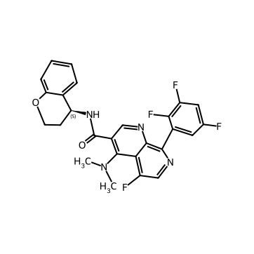 CN(C)c1c(C(=O)N[C@H]2CCOc3ccccc32)cnc2c(-c3cc(F)cc(F)c3F)ncc(F)c12